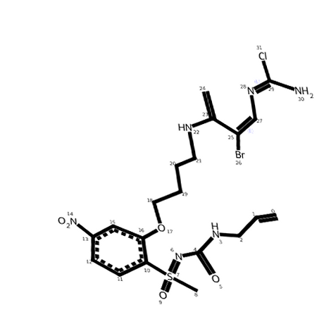 C=CCNC(=O)N=S(C)(=O)c1ccc([N+](=O)[O-])cc1OCCCCNC(=C)/C(Br)=C\N=C(/N)Cl